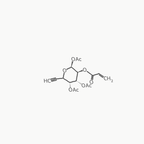 C#CC1O[C@@H](OC(C)=O)[C@@H](OC(=O)C=C)[C@H](OC(C)=O)[C@@H]1OC(C)=O